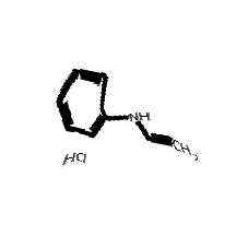 C=CNc1ccccc1.Cl